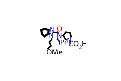 COCCCCn1c(C(=O)N(CC(C)C)[C@H]2CCCN(C(=O)O)C2)nc2ccccc21